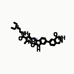 CCN(CC)CCNC(=O)c1c(C)[nH]c(/C=C2\C(=O)Nc3cc(-c4ccc5cn[nH]c(=O)c5c4)ccc32)c1C